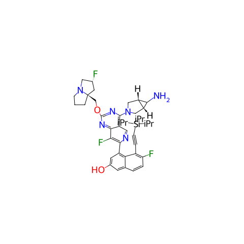 CC(C)[Si](C#Cc1c(F)ccc2cc(O)cc(-c3ncc4c(N5C[C@@H]6C(N)[C@@H]6C5)nc(OC[C@@]56CCCN5C[C@H](F)C6)nc4c3F)c12)(C(C)C)C(C)C